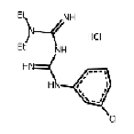 CCN(CC)C(=N)NC(=N)Nc1cccc(Cl)c1.Cl